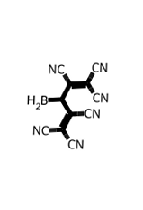 BC(C(C#N)=C(C#N)C#N)C(C#N)=C(C#N)C#N